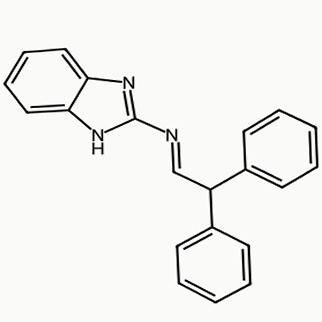 C(=N\c1nc2ccccc2[nH]1)/C(c1ccccc1)c1ccccc1